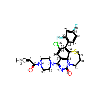 C=CC(=O)N1CCN(c2nc(=O)n3c4c(c(-c5ccc(F)cc5F)c(Cl)cc24)SCCC3)CC1